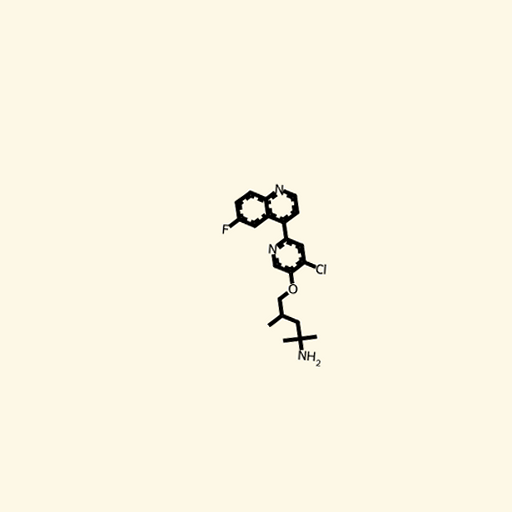 CC(COc1cnc(-c2ccnc3ccc(F)cc23)cc1Cl)CC(C)(C)N